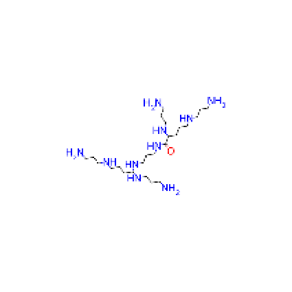 NCCCNCCCC(NCCCN)NCCCNC(=O)C(CCCNCCCN)NCCCN